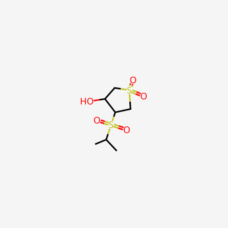 CC(C)S(=O)(=O)C1CS(=O)(=O)CC1O